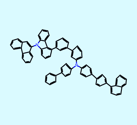 c1ccc(-c2ccc(N(c3ccc(-c4ccc(-c5cccc6ccccc56)cc4)cc3)c3cccc(-c4cccc(-c5cccc6c5c5ccccc5n6-c5cc6ccccc6c6ccccc56)c4)c3)cc2)cc1